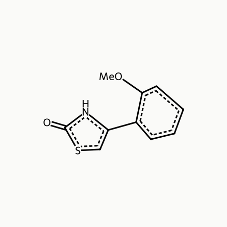 COc1ccccc1-c1csc(=O)[nH]1